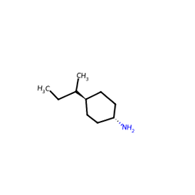 CCC(C)[C@H]1CC[C@H](N)CC1